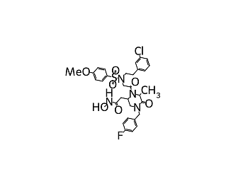 COc1ccc(S(=O)(=O)N(CCc2cccc(Cl)c2)CC(=O)N2C(CC(=O)NO)CN(Cc3ccc(F)cc3)C(=O)C2C)cc1